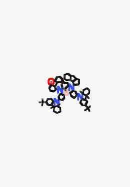 Cc1cc2c3c(c1)N(c1cccc4oc5ccccc5c14)c1cc(N4c5ccc(C(C)(C)C)cc5C5(C)CCCCC45C)ccc1B3c1ccc(N3c4ccc(C(C)(C)C)cc4C4(C)CCCCC34C)cc1N2c1cccc2c1-c1ccccc1C2